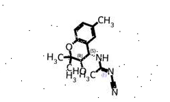 C/C(=N\C#N)N[C@H]1c2cc(C)ccc2OC(C)(C)[C@@H]1O